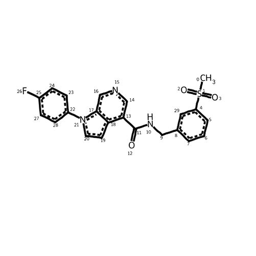 CS(=O)(=O)c1cccc(CNC(=O)c2cncc3c2ccn3-c2ccc(F)cc2)c1